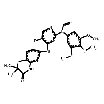 COc1cc(N(C=S)c2ncc(F)c(Nc3ccc4c(n3)NC(=O)C(C)(C)O4)n2)cc(OC)c1OC